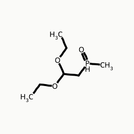 CCOC(C[PH](C)=O)OCC